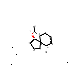 CC[C@@H]1CC=C[C@H](C)C12CCCC2=O